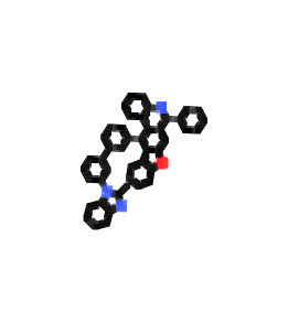 Cc1nc2ccccc2n1-c1cccc(-c2cccc(-c3c4c(cc5c(-c6ccccc6)nc6ccccc6c35)oc3ccccc34)c2)c1